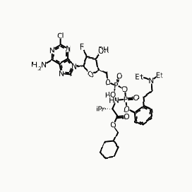 CCN(CC)CCc1ccccc1OP(=O)(N[C@H](C(=O)OCC1CCCCC1)C(C)C)OP(=O)(O)OC[C@H]1O[C@@H](n2cnc3c(N)nc(Cl)nc32)C(F)C1O